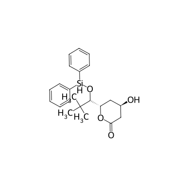 CC(C)(C)C(O[SiH](c1ccccc1)c1ccccc1)[C@@H]1C[C@@H](O)CC(=O)O1